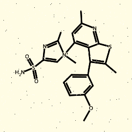 COc1cccc(-c2c(C)sc3nc(C)cc([N+]4(C)C=C(S(N)(=O)=O)N=C4C)c23)c1